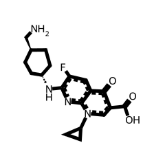 NC[C@H]1CC[C@H](Nc2nc3c(cc2F)c(=O)c(C(=O)O)cn3C2CC2)CC1